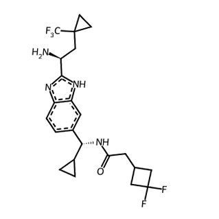 N[C@@H](CC1(C(F)(F)F)CC1)c1nc2ccc([C@H](NC(=O)CC3CC(F)(F)C3)C3CC3)cc2[nH]1